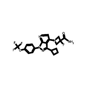 NC(=O)C1(F)CN(c2ccnc3c2c(C2CCC2)nn3-c2ccc(OC(F)(F)F)cc2)C1